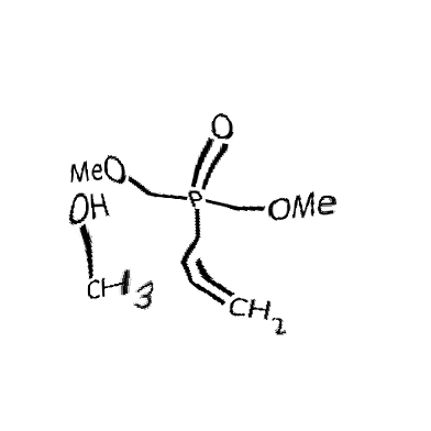 C=CP(=O)(OC)OC.CO